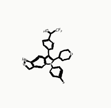 OC(c1ccc(-c2c(C3CCOCC3)n(-c3ccc(F)cc3)c3cc4cn[nH]c4cc23)cc1)C(F)(F)F